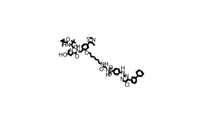 Cc1ncsc1-c1ccc(CNC(=O)[C@@H]2C[C@@H](O)CN2C(=O)C(NC(=O)C2(F)CC2)C(C)(C)C)c(OCCCCCCNC(=O)CNS(=O)(=O)c2ccc(Nc3ncc(Cl)c(-c4cccc(-c5ccccc5)c4)n3)cc2)c1